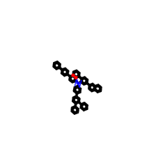 c1ccc(-c2ccc(-c3ccc(N(c4ccc(-c5ccc(-c6ccccc6)c(-c6ccccc6)c5)cc4)c4cc(-c5ccc6ccccc6c5)ccc4-c4ccccc4)cc3)cc2)cc1